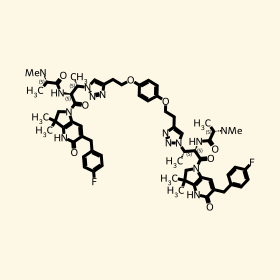 CN[C@@H](C)C(=O)N[C@H](C(=O)N1CC(C)(C)c2[nH]c(=O)c(Cc3ccc(F)cc3)cc21)[C@H](C)n1cc(CCOc2ccc(OCCc3cn([C@@H](C)[C@H](NC(=O)[C@H](C)NC)C(=O)N4CC(C)(C)c5[nH]c(=O)c(Cc6ccc(F)cc6)cc54)nn3)cc2)nn1